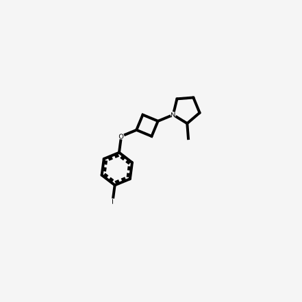 CC1CCCN1C1CC(Oc2ccc(I)cc2)C1